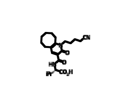 CC(C)[C@H](NC(=O)c1cc2c(n(CCCCC#N)c1=O)CCCCCC2)C(=O)O